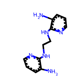 Nc1cccnc1NCCNc1ncccc1N